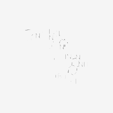 C=CC(=O)N1CC(NC(=O)c2c(Cl)nc(CNc3n[nH]c4cc(Cl)c(C(C)(C)C)cc34)n2C2CCOC2)C1